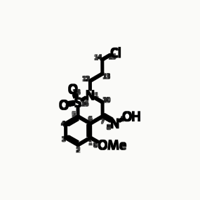 COc1cccc2c1C(=NO)CN(CCCCl)S2(=O)=O